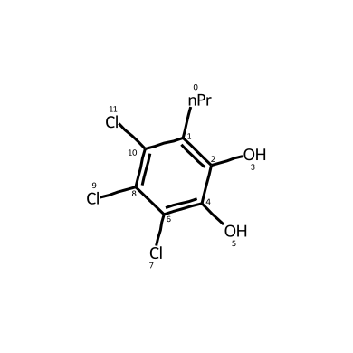 CCCc1c(O)c(O)c(Cl)c(Cl)c1Cl